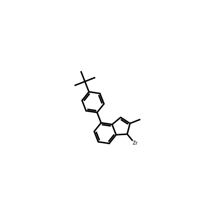 CC1=Cc2c(-c3ccc(C(C)(C)C)cc3)cccc2[CH]1[Zr]